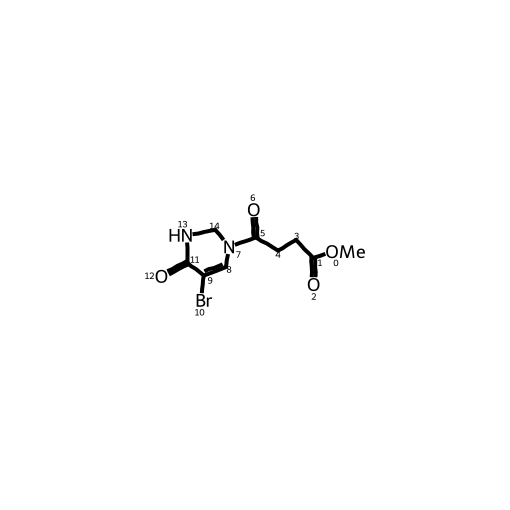 COC(=O)CCC(=O)N1C=C(Br)C(=O)NC1